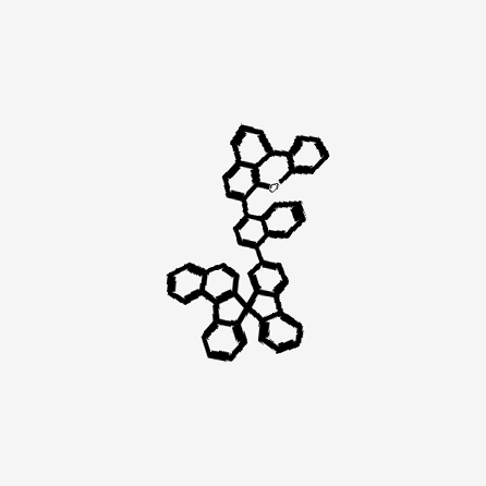 c1ccc2c(c1)Oc1c(-c3ccc(-c4ccc5c(c4)C4(c6ccccc6-5)c5ccccc5-c5c4ccc4ccccc54)c4ccccc34)ccc3cccc-2c13